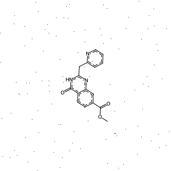 COC(=O)c1ccc2c(=O)[nH]c(Cc3ccccn3)nc2c1